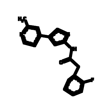 Cc1cc(-c2csc(NC(=O)Cc3ccccc3F)c2)ccn1